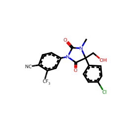 CN1C(=O)N(c2ccc(C#N)c(C(F)(F)F)c2)C(=O)C1(CO)c1ccc(Cl)cc1